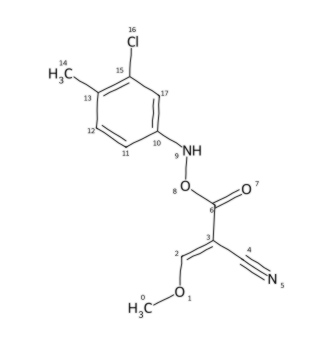 COC=C(C#N)C(=O)ONc1ccc(C)c(Cl)c1